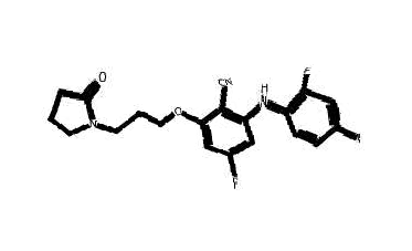 N#Cc1c(Nc2ccc(I)cc2F)cc(F)cc1OCCCN1CCCC1=O